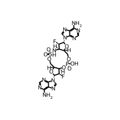 Nc1ncnc2c1ncn2[C@@H]1O[C@@H]2COP(=O)(O)O[C@H]3[C@@H](F)[C@H](n4cnc5c(N)ncnc54)O[C@@H]3COS(=O)(=O)N[C@H]2[C@H]1F